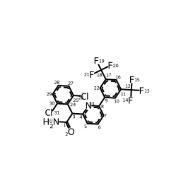 NC(=O)C(c1cccc(-c2cc(C(F)(F)F)cc(C(F)(F)F)c2)n1)c1c(Cl)cccc1Cl